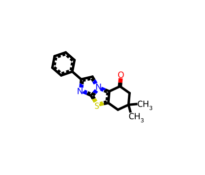 CC1(C)CC(=O)c2c(sc3nc(-c4ccccc4)cn23)C1